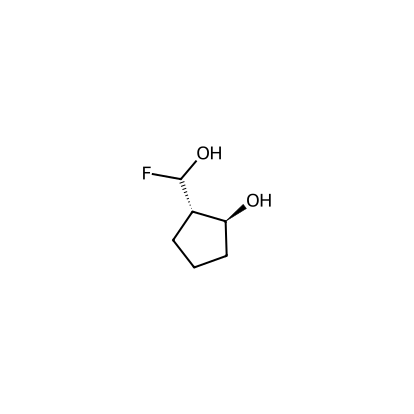 OC(F)[C@H]1CCC[C@@H]1O